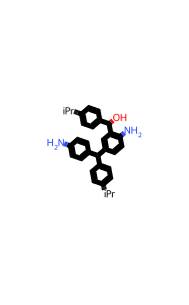 CC(C)c1ccc(C(O)c2cc(C(c3ccc(N)cc3)c3ccc(C(C)C)cc3)ccc2N)cc1